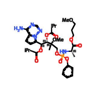 COCCCOC(=O)[C@H](C)NP(=O)(OC[C@@](C)(OC)[C@@H](OC(=O)C(C)C)[C@@H](OC(=O)C(C)C)c1ccc2c(N)ncnn12)Oc1ccccc1